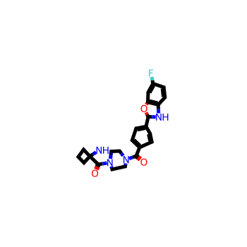 NC1(C(=O)N2CCN(C(=O)c3ccc(C4Nc5ccc(F)cc5O4)cc3)CC2)CCC1